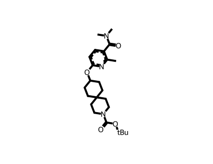 Cc1nc(OC2CCC3(CC2)CCN(C(=O)OC(C)(C)C)CC3)ccc1C(=O)N(C)C